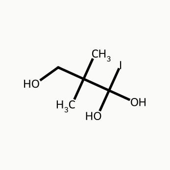 CC(C)(CO)C(O)(O)I